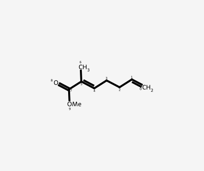 C=CCCC=C(C)C(=O)OC